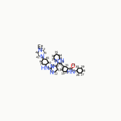 CCN1CCN(c2ccc(Nc3nccc(-c4c(-c5cccc(C(=O)Nc6ccccc6)c5)nc5ccccn45)n3)cc2)CC1